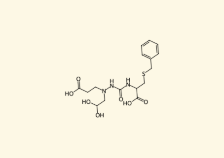 O=C(O)CCN(CC(O)O)NC(=O)NC(CSCc1ccccc1)C(=O)O